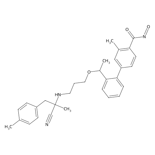 Cc1ccc(CC(C)(C#N)NCCCOC(C)c2ccccc2-c2ccc(C(=O)N=O)c(C)c2)cc1